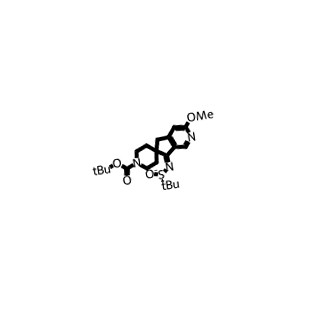 COc1cc2c(cn1)/C(=N/[S@+]([O-])C(C)(C)C)C1(CCN(C(=O)OC(C)(C)C)CC1)C2